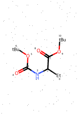 [CH2]CC(NC(=O)OC(C)(C)C)C(=O)OC(C)(C)C